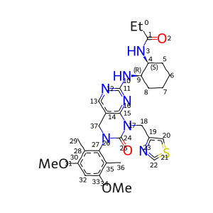 CCC(=O)N[C@H]1CCCC[C@H]1Nc1ncc2c(n1)N(Cc1cscn1)C(=O)N(c1c(C)c(OC)cc(OC)c1C)C2